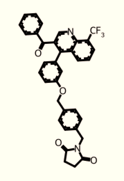 O=C(c1ccccc1)c1cnc2c(C(F)(F)F)cccc2c1-c1cccc(OCc2ccc(CN3C(=O)CCC3=O)cc2)c1